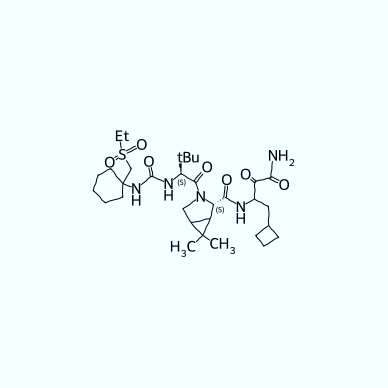 CCS(=O)(=O)CC1(NC(=O)N[C@H](C(=O)N2CC3C([C@H]2C(=O)NC(CC2CCC2)C(=O)C(N)=O)C3(C)C)C(C)(C)C)CCCCC1